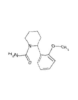 COc1ccccc1C1CCCCN1C(N)=O